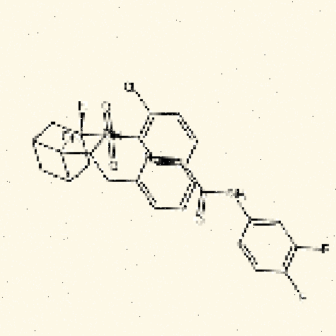 O=C(Nc1ccc(F)c(F)c1)c1ccc(Cl)c(S(=O)(=O)[C@H]2CC3CC(C2)[C@]3(O)C(O)Cc2ccccn2)c1